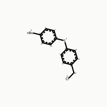 CCCCc1ccc(Sc2ccc(CCl)cc2)cc1